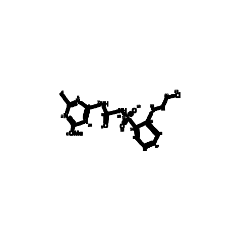 COc1nc(C)nc(NC(=O)NS(=O)(=O)c2ccccc2SCCCl)n1